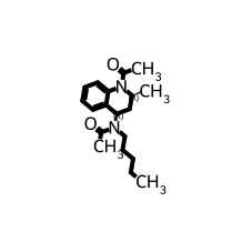 CCCCCN(C(C)=O)[C@@H]1C[C@@H](C)N(C(C)=O)c2ccccc21